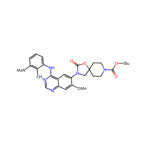 CNc1cccc(Nc2ncnc3cc(OC)c(N4CC5(CCN(C(=O)OC(C)(C)C)CC5)OC4=O)cc23)c1C